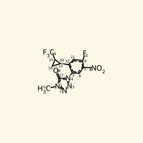 Cn1nnn(-c2cc([N+](=O)[O-])c(F)cc2[C@H]2CC2C(F)(F)F)c1=O